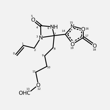 C=CCN1C(=O)NC1(CCCCOC=O)c1noc(=O)o1